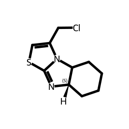 ClCC1=CSC2=N[C@H]3CCCCC3N12